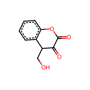 O=C1Oc2ccccc2C(CO)C1=O